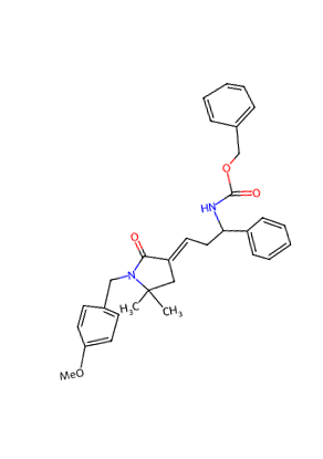 COc1ccc(CN2C(=O)/C(=C/CC(NC(=O)OCc3ccccc3)c3ccccc3)CC2(C)C)cc1